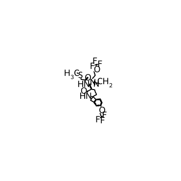 C=NN(CCCOC(F)(F)F)/C(NC(=O)CSC)=C1\CCC2(Cc3cc(OCC(F)(F)F)ccc32)NC1=O